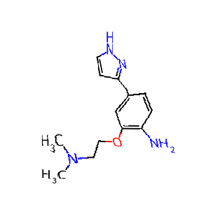 CN(C)CCOc1cc(-c2cc[nH]n2)ccc1N